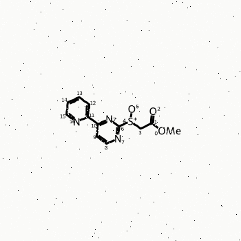 COC(=O)C[S+]([O-])c1nccc(-c2ccccn2)n1